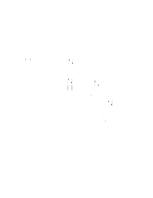 C=C1CC(c2nc3cc(OC)ccc3[nH]2)N(C(=O)c2nc(C)sc2-c2cccc(C)c2)C1